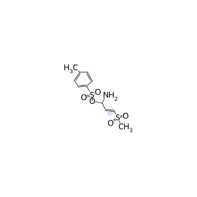 Cc1ccc(S(=O)(=O)OC(N)/C=C/S(C)(=O)=O)cc1